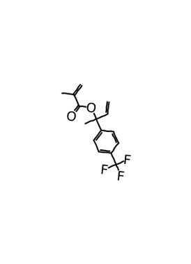 C=CC(C)(OC(=O)C(=C)C)c1ccc(C(F)(F)F)cc1